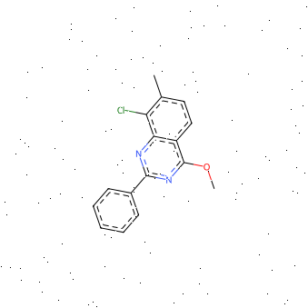 COc1nc(-c2ccccc2)nc2c(Cl)c(C)ccc12